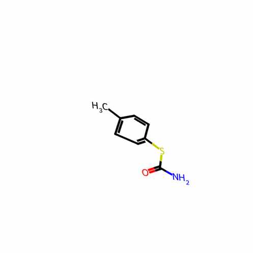 Cc1ccc(SC(N)=O)cc1